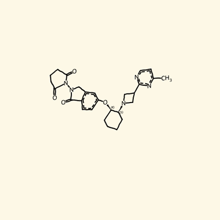 Cc1ccnc(C2CN([C@H]3CCCC[C@H]3Oc3ccc4c(c3)CN(N3C(=O)CCCC3=O)C4=O)C2)n1